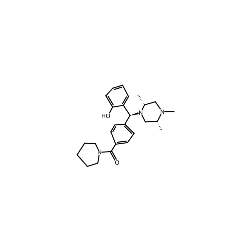 C[C@@H]1CN([C@@H](c2ccc(C(=O)N3CCCCC3)cc2)c2ccccc2O)[C@H](C)CN1C